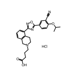 CC(C)Oc1ccc(-c2nc(-c3cccc4c3CCN(CCCC(=O)O)C4)no2)cc1C#N.Cl